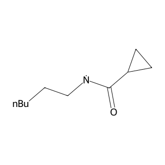 CCCCCC[N]C(=O)C1CC1